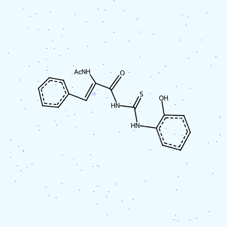 CC(=O)N/C(=C\c1ccccc1)C(=O)NC(=S)Nc1ccccc1O